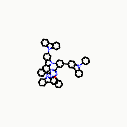 c1ccc(-c2nc(-c3ccccc3)nc(-c3cc(-c4ccc5c(c4)c4ccccc4n5-c4ccccc4)ccc3-n3c4cc(-n5c6ccccc6c6ccccc65)ccc4c4ccc(-n5c6ccccc6c6ccccc65)cc43)n2)cc1